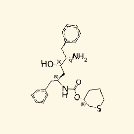 N[C@@H](Cc1ccccc1)[C@@H](O)C[C@H](Cc1ccccc1)NC(=O)O[C@@H]1CCCSC1